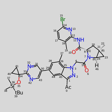 CC(=O)c1nn(CC(=O)N2[C@H](C(=O)Nc3nc(Br)ccc3C)C[C@@]3(C)C[C@@H]23)c2c(C)cc(-c3cnc(C4(O[Si](C)(C)C(C)(C)C)CC4)nc3)cc12